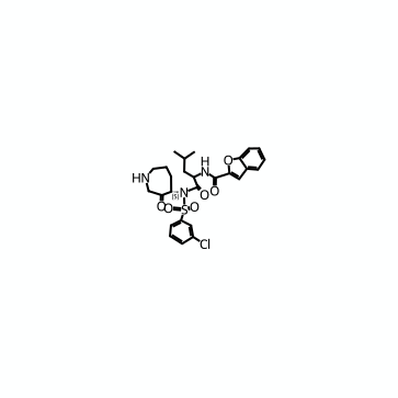 CC(C)CC(NC(=O)c1cc2ccccc2o1)C(=O)N([C@H]1CCCNCC1=O)S(=O)(=O)c1cccc(Cl)c1